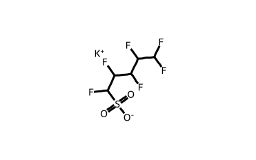 O=S(=O)([O-])C(F)C(F)C(F)C(F)C(F)F.[K+]